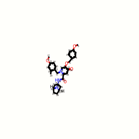 COc1ccc(COc2cn(Cc3ccc(OC)cc3C)c(C(=O)N[C@H]3C[C@H]4CC[C@@H](C3)N4C)cc2=O)cc1